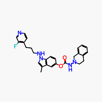 Cc1cn(NCCCc2ccncc2F)c2ccc(OC(=O)NN3CCc4ccccc4C3)cc12